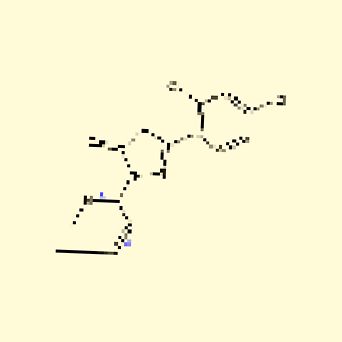 C#C/C=C\C(=N/C)N1N=C(c2ccc(Cl)cc2Cl)CC1=O